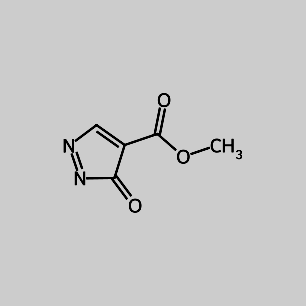 COC(=O)C1=CN=NC1=O